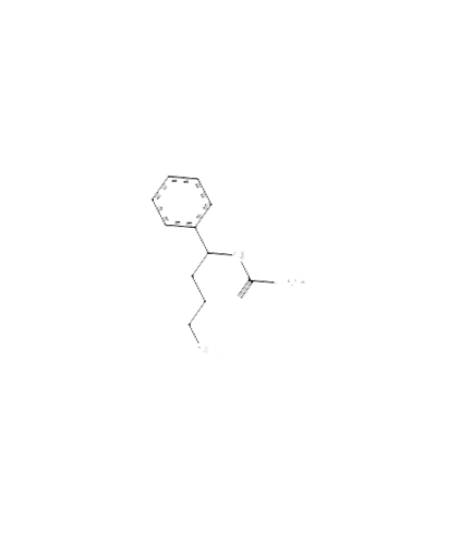 COC(=O)NC(CCCN)c1ccccc1